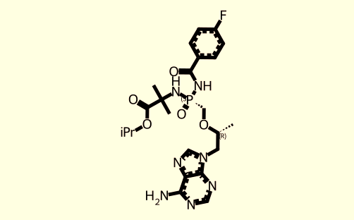 CC(C)OC(=O)C(C)(C)N[P@@](=O)(CO[C@H](C)Cn1cnc2c(N)ncnc21)NC(=O)c1ccc(F)cc1